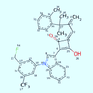 C=C(/C=C1\C(=O)C(c2cn(-c3cc(CF)cc(C(F)(F)F)c3)c3ccccc23)=C1O)C(C)(C)c1ccccc1C